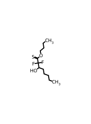 CCCCCC(O)C(F)(F)C(=S)OCCCC